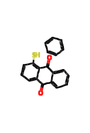 O=C1c2ccccc2C(=O)c2c(S)cccc21.c1ccccc1